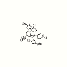 CCC1C=C(C(C)(C)C)C=[C]1[Zr+2](=[C](c1ccc(Cl)cc1)c1ccc(Cl)cc1)[c]1c(C)c(C(C)(C)C)cc2c1Cc1cc(C)c(C(C)(C)C)cc1-2.[Cl-].[Cl-]